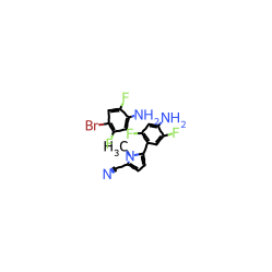 Cn1c(C#N)ccc1-c1cc(F)c(N)cc1F.Nc1cc(F)c(Br)cc1F